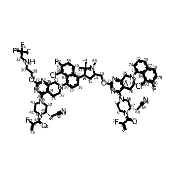 C=C(F)C(=O)N1CCN(c2nc(OCC3CC(c4ccc(N5CCc6c(nc(OCCNCC(F)(F)F)nc6N6CCN(C(=O)C(=C)F)[C@@H](CC#N)C6)C5)c5c(Cl)c(F)ccc45)C(C)(C)N3C)nc3c2CCN(c2cccc4ccc(F)c(Cl)c24)C3)C[C@@H]1CC#N